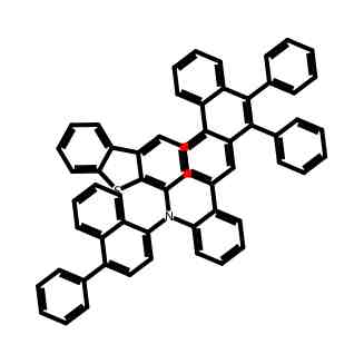 c1ccc(-c2ccc(N(c3ccccc3-c3ccc4c(c3)c(-c3ccccc3)c(-c3ccccc3)c3ccccc34)c3cccc4c3sc3ccccc34)c3ccccc23)cc1